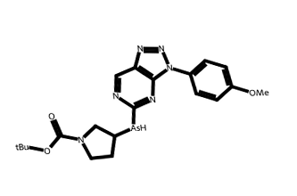 COc1ccc(-n2nnc3cnc([AsH]C4CCN(C(=O)OC(C)(C)C)C4)nc32)cc1